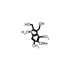 COc1c(C)cc2c(c(CO)c(CO)n2C)c1[N+](=O)[O-]